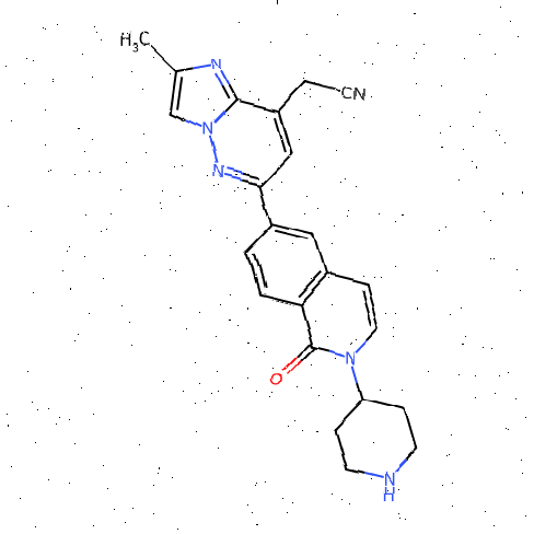 Cc1cn2nc(-c3ccc4c(=O)n(C5CCNCC5)ccc4c3)cc(CC#N)c2n1